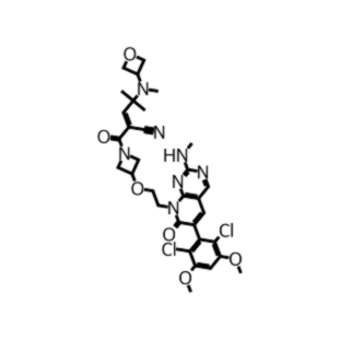 CNc1ncc2cc(-c3c(Cl)c(OC)cc(OC)c3Cl)c(=O)n(CCOC3CN(C(=O)C(C#N)=CC(C)(C)N(C)C4COC4)C3)c2n1